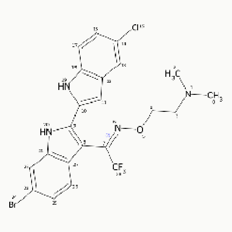 CN(C)CCO/N=C(/c1c(-c2cc3cc(Cl)ccc3[nH]2)[nH]c2cc(Br)ccc12)C(F)(F)F